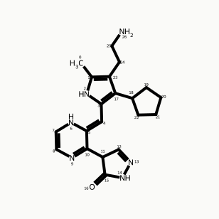 Cc1[nH]c(C=C2NC=CN=C2C2C=NNC2=O)c(C2CCCC2)c1CCN